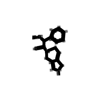 COC(C(=O)N1CC=C2CNC=C2C1)c1ccccc1